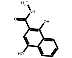 CNC(=O)c1cc(O)c2ccccc2c1O